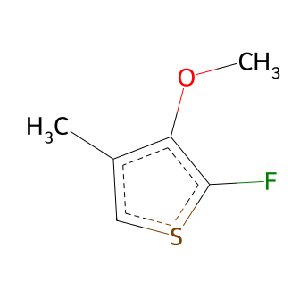 COc1c(C)csc1F